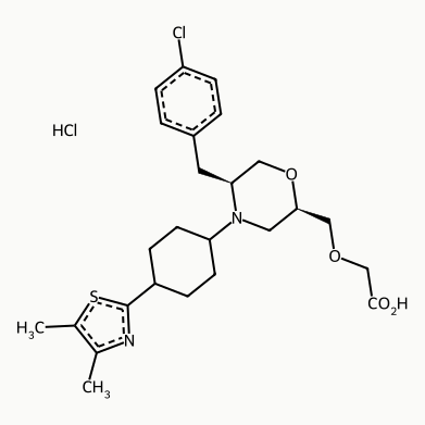 Cc1nc(C2CCC(N3C[C@H](COCC(=O)O)OC[C@@H]3Cc3ccc(Cl)cc3)CC2)sc1C.Cl